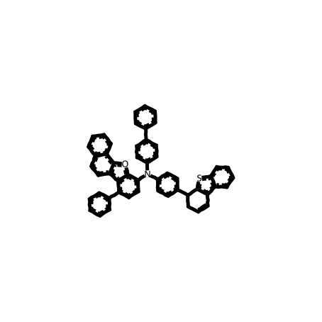 C1=Cc2c(sc3ccccc23)C(c2ccc(N(c3ccc(-c4ccccc4)cc3)c3ccc(-c4ccccc4)c4c3oc3c5ccccc5ccc34)cc2)C1